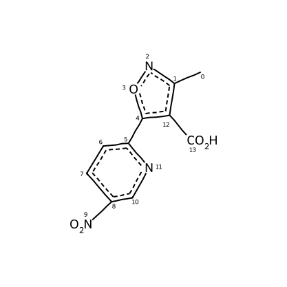 Cc1noc(-c2ccc([N+](=O)[O-])cn2)c1C(=O)O